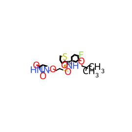 CCC(C)COc1cc([C@H](NS(=O)(=O)CCCOCn2ccc(=O)[nH]c2=O)c2cccs2)ccc1F